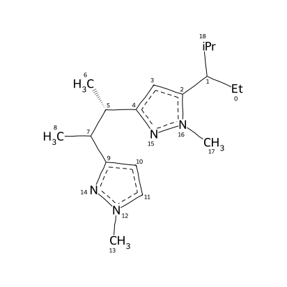 CCC(c1cc([C@@H](C)C(C)c2ccn(C)n2)nn1C)C(C)C